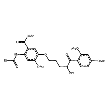 CCCN(CCCOc1cc(C(=O)OC)c(NC(=O)CC)cc1OC)C(=O)c1ccc(OC)cc1OC